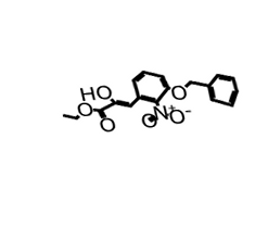 CCOC(=O)/C(O)=C/c1cccc(OCc2ccccc2)c1[N+](=O)[O-]